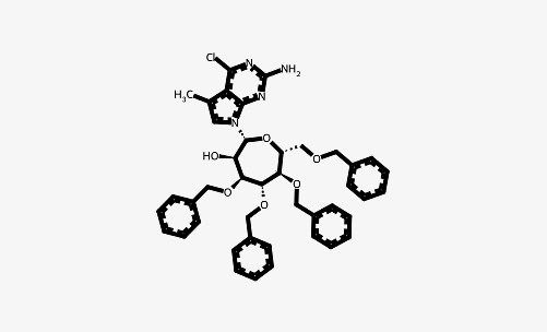 Cc1cn([C@@H]2O[C@H](COCc3ccccc3)[C@@H](OCc3ccccc3)[C@H](OCc3ccccc3)[C@@H](OCc3ccccc3)[C@H]2O)c2nc(N)nc(Cl)c12